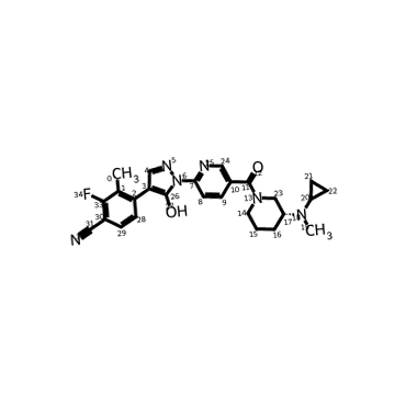 Cc1c(-c2cnn(-c3ccc(C(=O)N4CCC[C@@H](N(C)C5CC5)C4)cn3)c2O)ccc(C#N)c1F